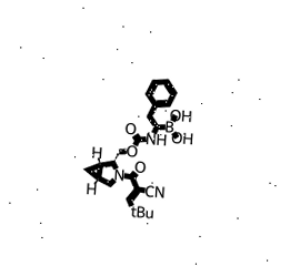 CC(C)(C)C=C(C#N)C(=O)N1C[C@H]2C[C@H]2[C@@H]1COC(=O)NC(Cc1ccccc1)B(O)O